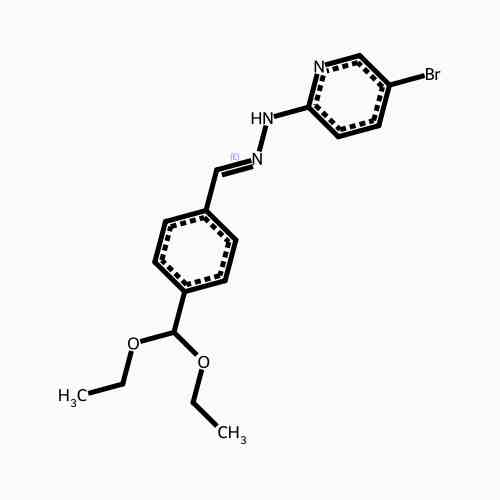 CCOC(OCC)c1ccc(/C=N/Nc2ccc(Br)cn2)cc1